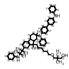 CCCCCCC1(CCCCCCOCC(C)(C)CO)C2=C(C=CC(C(CC)(CC)C(CC)(CC)Nc3ccccc3)C2)C2CCC(I)(N(c3ccccc3)c3ccc(-c4ccc(Nc5ccccc5)cc4)cc3)CC21